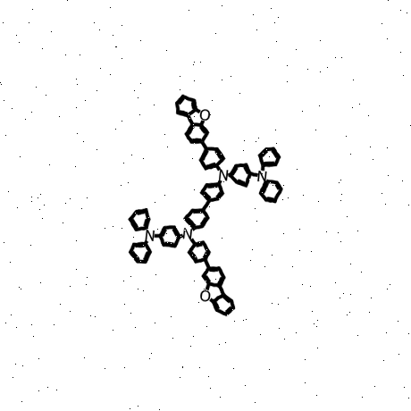 c1ccc(N(c2ccccc2)c2ccc(N(c3ccc(-c4ccc(N(c5ccc(-c6ccc7c(c6)oc6ccccc67)cc5)c5ccc(N(c6ccccc6)c6ccccc6)cc5)cc4)cc3)c3ccc(-c4ccc5c(c4)oc4ccccc45)cc3)cc2)cc1